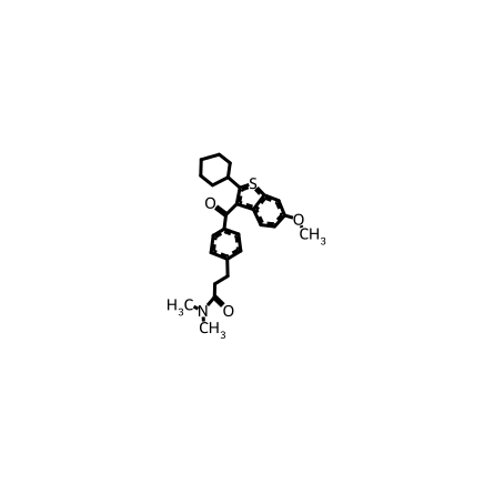 COc1ccc2c(C(=O)c3ccc(CCC(=O)N(C)C)cc3)c(C3CCCCC3)sc2c1